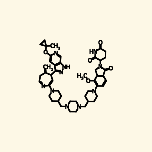 C=C1CC=NC(N2CCC(CN3CCN(CC4CCN(c5ccc6c(c5OC)CN(C5CCC(=O)NC5=O)C6=O)CC4)CC3)CC2)=CC1c1n[nH]c2cnc(OC3(C)CC3)cc12